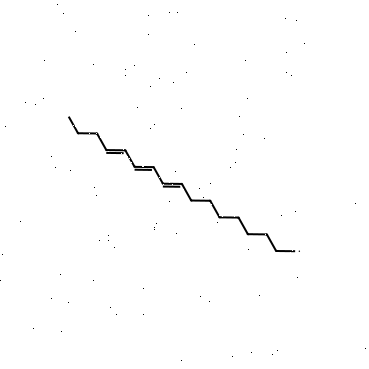 [CH2]CCCCCCCC=CC=CC=CCCC